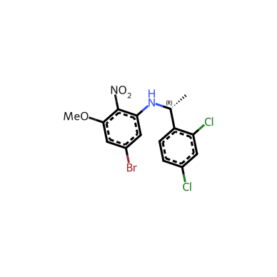 COc1cc(Br)cc(N[C@H](C)c2ccc(Cl)cc2Cl)c1[N+](=O)[O-]